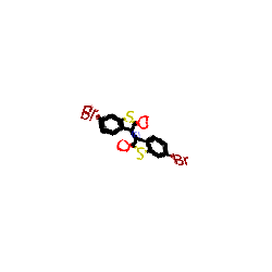 O=C1Sc2cc(Br)ccc2/C1=C1\C(=O)Sc2cc(Br)ccc21